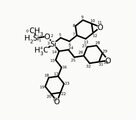 C[SiH2]O[Si](C)(CCC1CCC2OC2C1)C(CCC1CCC2OC2C1)CCC1CCC2OC2C1